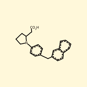 O=C(O)CC1CCCN1c1ccc(Cc2ccc3ccccc3c2)cc1